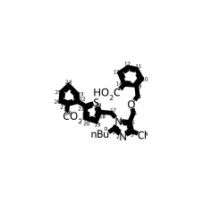 CCCCc1nc(Cl)c(COCc2ccccc2C(=O)O)n1Cc1ccc(-c2ccccc2C(=O)O)s1